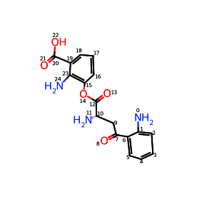 Nc1ccccc1C(=O)C[C@H](N)C(=O)Oc1cccc(C(=O)O)c1N